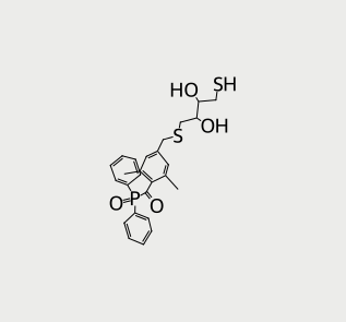 Cc1cc(CSCC(O)C(O)CS)cc(C)c1C(=O)P(=O)(c1ccccc1)c1ccccc1